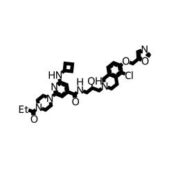 CCC(=O)N1CCN(c2cc(C(=O)NC[C@H](O)CN3CCc4c(ccc(OCc5cnco5)c4Cl)C3)cc(NC3CCC3)n2)CC1